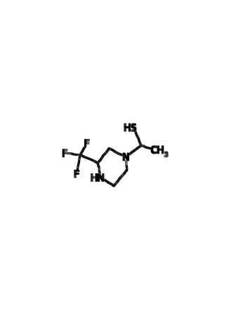 CC(S)N1CCNC(C(F)(F)F)C1